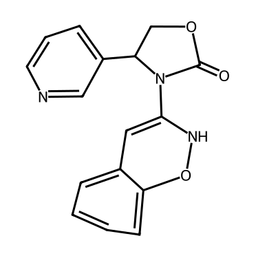 O=C1OCC(c2cccnc2)N1C1=Cc2ccccc2ON1